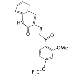 COc1cc(OC(F)(F)F)ccc1C(=O)C=Cc1cc2ccccc2[nH]c1=O